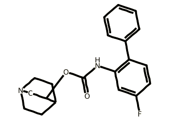 O=C(Nc1cc(F)ccc1-c1ccccc1)OC1CN2CCC1CC2